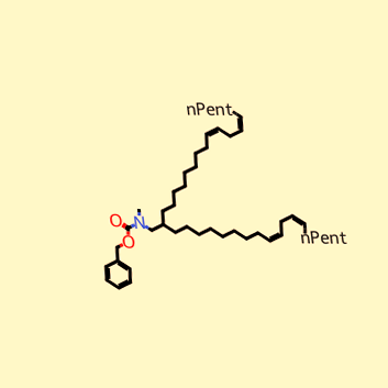 CCCCC/C=C\C/C=C\CCCCCCCCC(CCCCCCCC/C=C\C/C=C\CCCCC)CN(C)C(=O)OCc1ccccc1